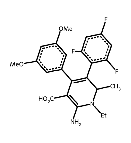 CCN1C(N)=C(C(=O)O)C(c2cc(OC)cc(OC)c2)=C(c2c(F)cc(F)cc2F)C1C